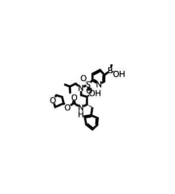 CB(O)c1ccc(S(=O)(=O)N(CC(C)C)C[C@@H](O)[C@H](Cc2ccccc2)NC(=O)OC2CCOC2)nc1